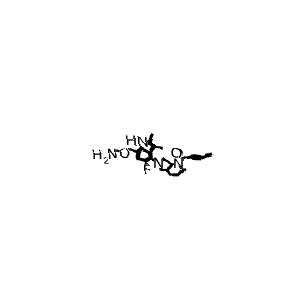 CC#CC(=O)N1CCCC2CN(c3c(F)cc(COCN)c4[nH]c(C)c(C)c34)CC21